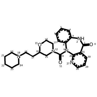 O=C1Nc2ccccc2N(C(=O)N2CCOC(CCN3CCCCC3)C2)c2ncccc21